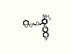 CN1CCC2(CC1)CCN(c1ccc(N)cc1COCCOC1CCCCO1)CC2